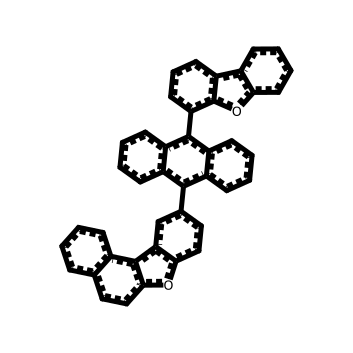 c1ccc2c(c1)ccc1oc3ccc(-c4c5ccccc5c(-c5cccc6c5oc5ccccc56)c5ccccc45)cc3c12